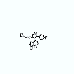 Fc1ccc(C2=C(c3ccnc4[nH]ccc34)C(CCCC3CCC3)C=N2)cc1